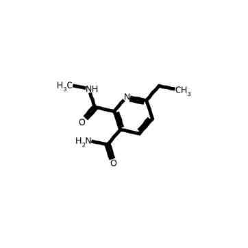 CCc1ccc(C(N)=O)c(C(=O)NC)n1